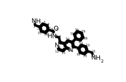 NCc1ccc(C(=O)NCc2nccc3nc(-c4ccc(CN)cc4)c(-c4ccccc4)cc23)cc1